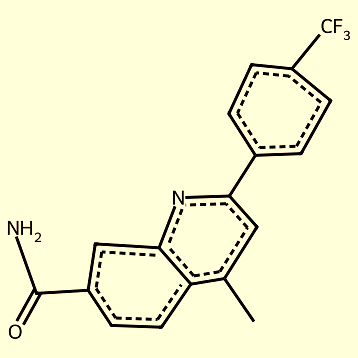 Cc1cc(-c2ccc(C(F)(F)F)cc2)nc2cc(C(N)=O)ccc12